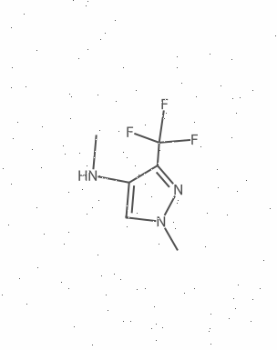 CNc1cn(C)nc1C(F)(F)F